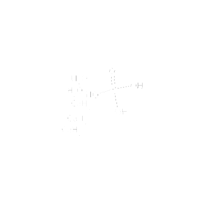 O.O.O=P(O)(O)O.[CaH2].[CaH2].[CaH2]